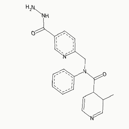 CC1C=NC=CC1C(=O)N(Cc1ccc(C(=O)NN)cn1)c1ccccc1